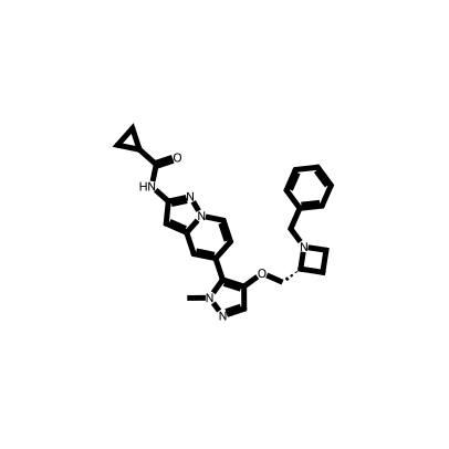 Cn1ncc(OC[C@H]2CCN2Cc2ccccc2)c1-c1ccn2nc(NC(=O)C3CC3)cc2c1